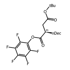 CCCCCCCCCC[C@H](CC(=O)OC(C)(C)C)C(=O)Oc1c(F)c(F)c(F)c(F)c1F